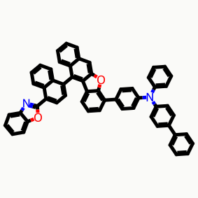 c1ccc(-c2ccc(N(c3ccccc3)c3ccc(-c4cccc5c4oc4cc6ccccc6c(-c6ccc(-c7nc8ccccc8o7)c7ccccc67)c45)cc3)cc2)cc1